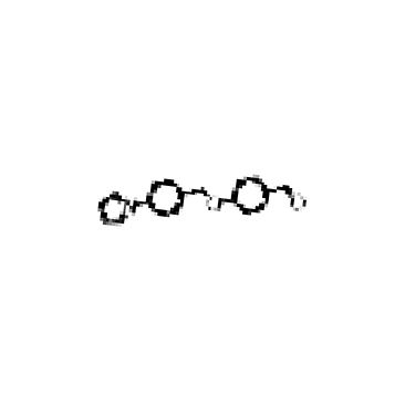 O=Cc1ccc(OCc2ccc(-n3cccc3)cc2)cc1